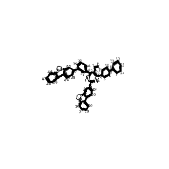 CCc1c(-c2ccc(-c3ccccc3)cc2)nc(-c2ccc3c(c2)oc2ccccc23)nc1-c1cccc(-c2ccc3c(c2)oc2ccccc23)c1